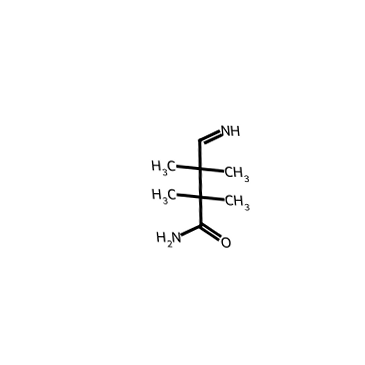 CC(C)(C=N)C(C)(C)C(N)=O